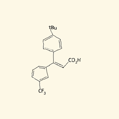 CC(C)(C)c1ccc(/C(=C\C(=O)O)c2cccc(C(F)(F)F)c2)cc1